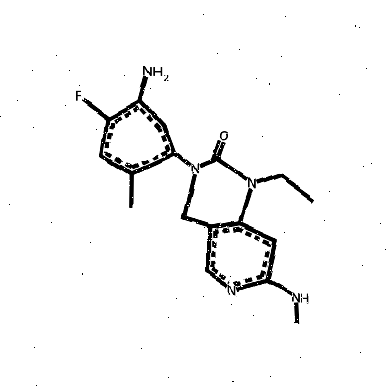 CCN1C(=O)N(c2cc(N)c(F)cc2C)Cc2cnc(NC)cc21